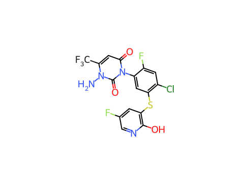 Nn1c(C(F)(F)F)cc(=O)n(-c2cc(Sc3cc(F)cnc3O)c(Cl)cc2F)c1=O